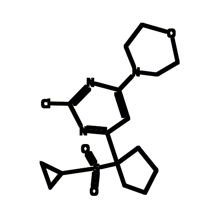 O=S(=O)(C1CC1)C1(c2cc(N3CCOCC3)nc(Cl)n2)CCCC1